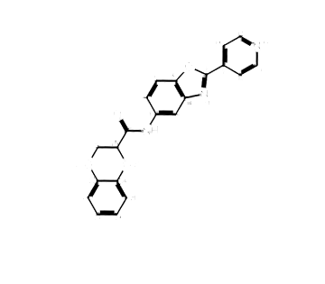 O=C(Nc1ccc2oc(-c3ccncc3)nc2c1)C1COc2ccccc2O1